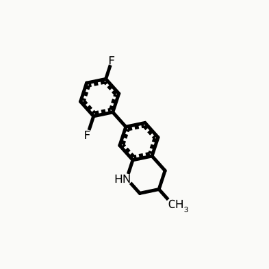 CC1CNc2cc(-c3cc(F)ccc3F)ccc2C1